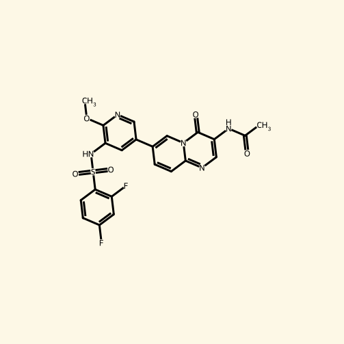 COc1ncc(-c2ccc3ncc(NC(C)=O)c(=O)n3c2)cc1NS(=O)(=O)c1ccc(F)cc1F